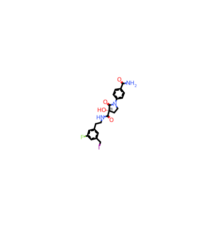 NC(=O)c1ccc(N2CC[C@@](O)(C(=O)NCCc3cc(F)cc(CI)c3)C2=O)cc1